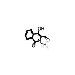 Cn1c(C=O)c(O)c2ccccc2c1=O